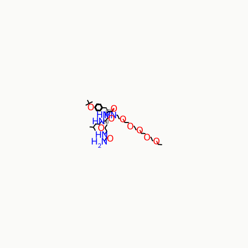 CCOCCOCCOCCOCCOCCNC(=O)[C@H](Cc1ccc(OC(C)(C)C)cc1)NC(=O)[C@H](CCCNC(N)=O)NC(=O)CC(C)C